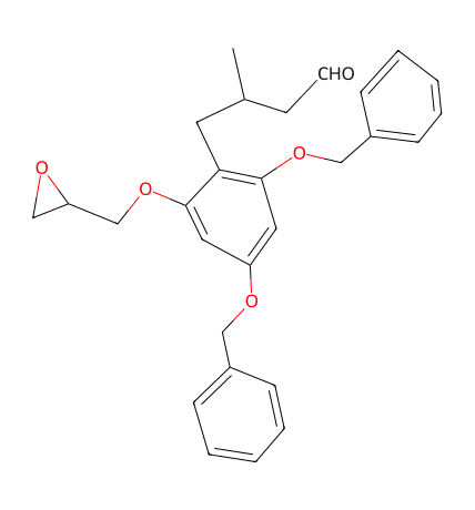 CC(CC=O)Cc1c(OCc2ccccc2)cc(OCc2ccccc2)cc1OCC1CO1